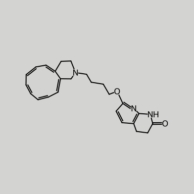 O=C1CCc2ccc(OCCCCN3CCc4ccccccccc4C3)nc2N1